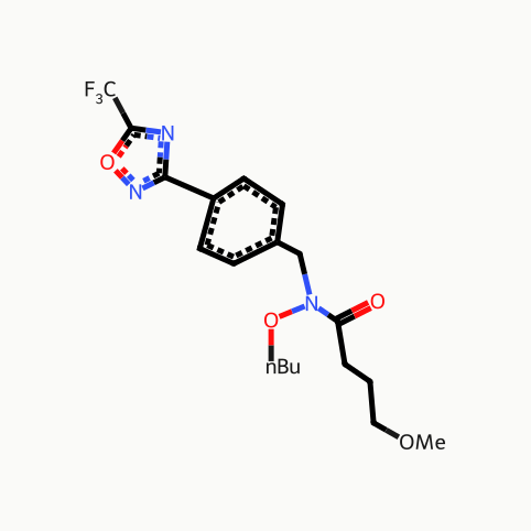 CCCCON(Cc1ccc(-c2noc(C(F)(F)F)n2)cc1)C(=O)CCCOC